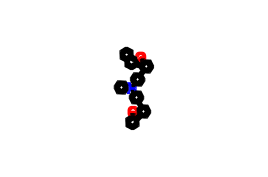 c1ccc(N(c2ccc(-c3cccc4c3oc3ccccc34)cc2)c2ccc(-c3cccc4oc5c6ccccc6ccc5c34)cc2)cc1